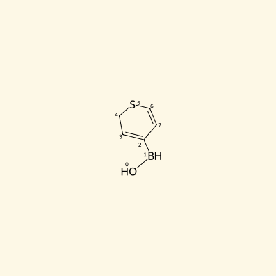 OBC1=CCSC=C1